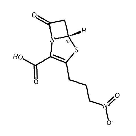 O=C(O)C1=C(CCC[N+](=O)[O-])S[C@H]2CC(=O)N12